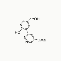 COc1cnnc(-c2cc(CO)ccc2O)c1